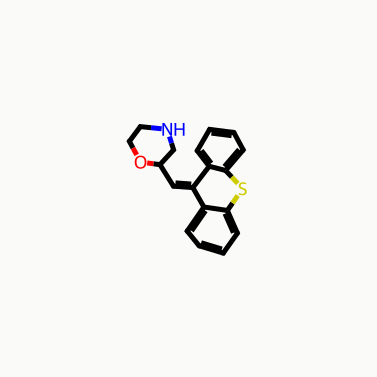 C(=C1c2ccccc2Sc2ccccc21)C1CNCCO1